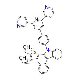 C=Cc1sc2c(c1/C=C\C)c1ccccc1c1c3ccccc3n(-c3ccc(-c4cc(-c5cccnc5)nc(-c5cccnc5)c4)cc3)c21